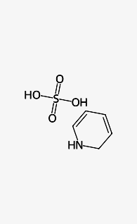 C1=CCNC=C1.O=S(=O)(O)O